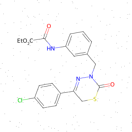 CCOC(=O)C(=O)Nc1cccc(CN2N=C(c3ccc(Cl)cc3)CSC2=O)c1